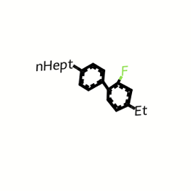 CCCCCCCc1ccc(-c2ccc(CC)cc2F)cc1